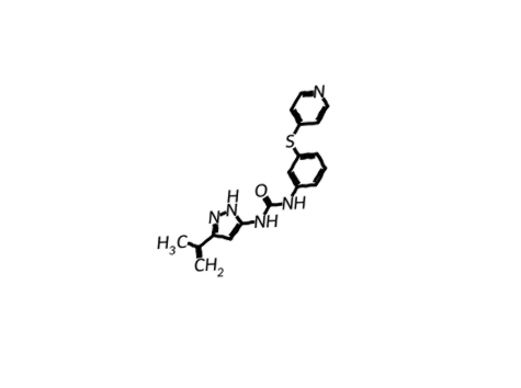 C=C(C)c1cc(NC(=O)Nc2cccc(Sc3ccncc3)c2)[nH]n1